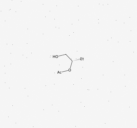 CC[C@@H](CO)OC(C)=O